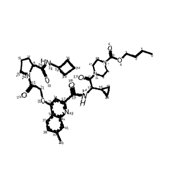 CCCCOC(=O)N1CCN(C(=O)C(NC(=O)c2cc(OCC(=O)N3CCCC3C(=O)NC3CCC3)c3ccc(C)cc3n2)C2CC2)CC1